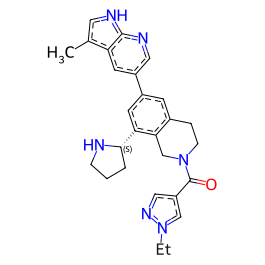 CCn1cc(C(=O)N2CCc3cc(-c4cnc5[nH]cc(C)c5c4)cc([C@@H]4CCCN4)c3C2)cn1